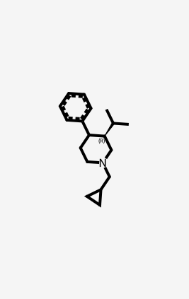 CC(C)[C@H]1CN(CC2CC2)CCC1c1ccccc1